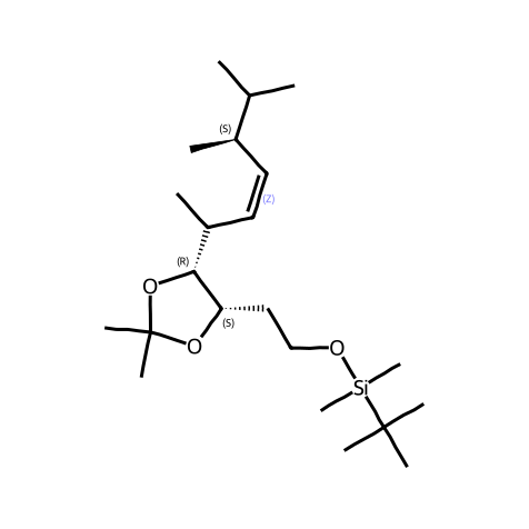 CC(C)[C@H](C)/C=C\C(C)[C@H]1OC(C)(C)O[C@H]1CCO[Si](C)(C)C(C)(C)C